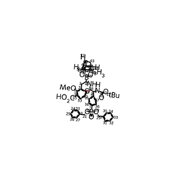 COc1c(CC(NC(=O)C(NC(=O)OC(C)(C)C)c2ccc(P(=O)(OCc3ccccc3)OCc3ccccc3)cc2)B2O[C@@H]3C[C@@H]4C[C@@H](C4(C)C)[C@]3(C)O2)cccc1C(=O)O